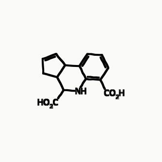 O=C(O)c1cccc2c1NC(C(=O)O)C1CC=CC21